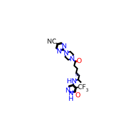 CC(/C=C/CCC(=O)N1CCN(c2ncc(C#N)cn2)CC1)Nc1cn[nH]c(=O)c1C(F)(F)F